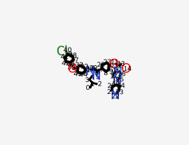 CC(C)Cc1nc(-c2ccc(OC(C=O)N3CCN(c4ccncc4)CC3)cc2)cn1-c1ccc(Oc2ccc(Cl)cc2)cc1